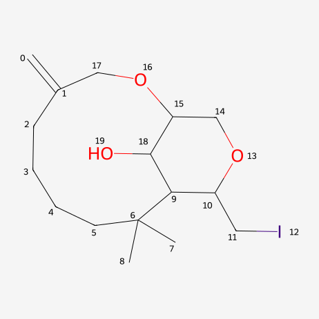 C=C1CCCCC(C)(C)C2C(CI)OCC(OC1)C2O